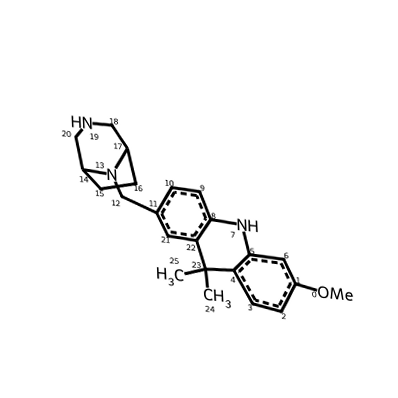 COc1ccc2c(c1)Nc1ccc(CN3C4CCC3CNC4)cc1C2(C)C